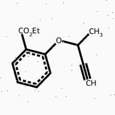 C#CC(C)Oc1ccccc1C(=O)OCC